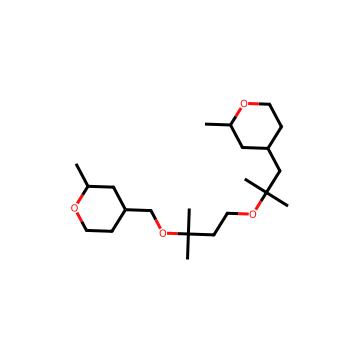 CC1CC(COC(C)(C)CCOC(C)(C)CC2CCOC(C)C2)CCO1